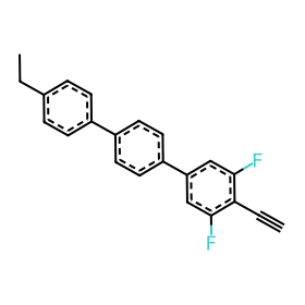 C#Cc1c(F)cc(-c2ccc(-c3ccc(CC)cc3)cc2)cc1F